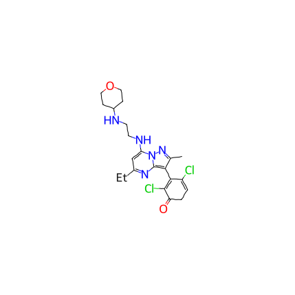 CCc1cc(NCCNC2CCOCC2)n2nc(C)c(C3=C(Cl)C(=O)CC=C3Cl)c2n1